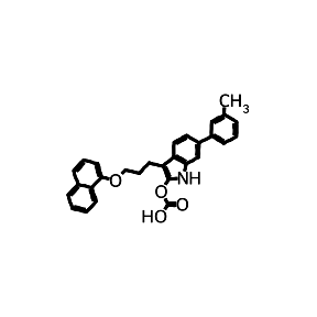 Cc1cccc(-c2ccc3c(CCCOc4cccc5ccccc45)c(OC(=O)O)[nH]c3c2)c1